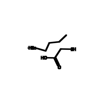 CCC[CH2][SnH].O=C(O)CS